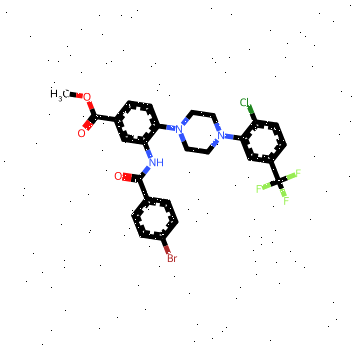 COC(=O)c1ccc(N2CCN(c3cc(C(F)(F)F)ccc3Cl)CC2)c(NC(=O)c2ccc(Br)cc2)c1